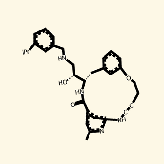 Cc1cc2cc(n1)NCCCCOc1cccc(c1)C[C@@H]([C@H](O)CNCc1cccc(C(C)C)c1)NC2=O